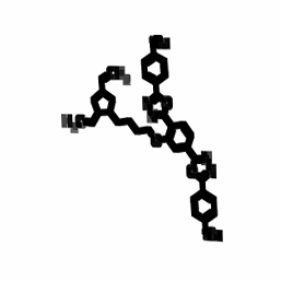 C=CC1CC(C=C)C(CCCCOc2cc(-c3nnc(-c4ccc(C(C)(C)C)cc4)o3)ccc2-c2nnc(-c3ccc(C(C)(C)C)cc3)o2)C1